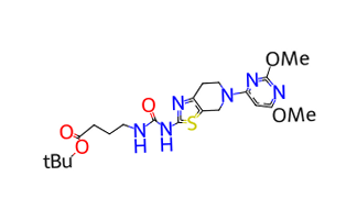 COc1cc(N2CCc3nc(NC(=O)NCCCC(=O)OC(C)(C)C)sc3C2)nc(OC)n1